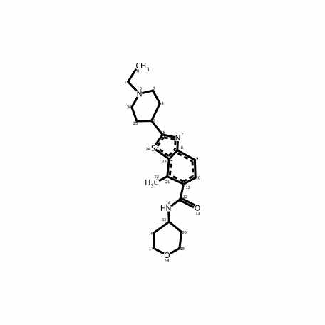 CCN1CCC(c2nc3ccc(C(=O)NC4CCOCC4)c(C)c3s2)CC1